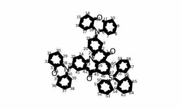 O=c1c2cc(N3c4ccccc4Oc4ccccc43)ccc2n2c3ccc(N4c5ccccc5Oc5ccccc54)cc3c(=O)c3cc([Si](c4ccccc4)(c4ccccc4)c4ccccc4)cc1c32